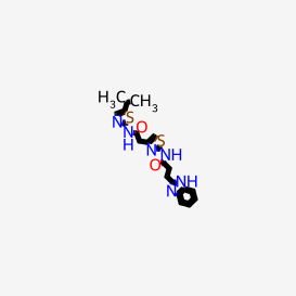 CC(C)c1cnc(NC(=O)Cc2csc(NC(=O)CCc3nc4ccccc4[nH]3)n2)s1